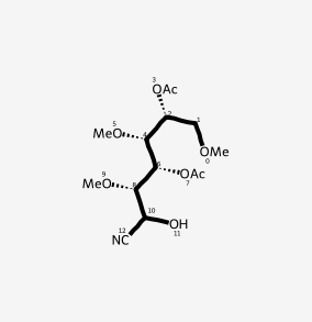 COC[C@@H](OC(C)=O)[C@@H](OC)[C@H](OC(C)=O)[C@@H](OC)C(O)C#N